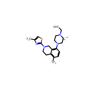 C[C@@H]1CN(c2ccc(C(F)(F)F)c3c2CN(c2nc(C(F)(F)F)cs2)CC3)CCN1CC=O